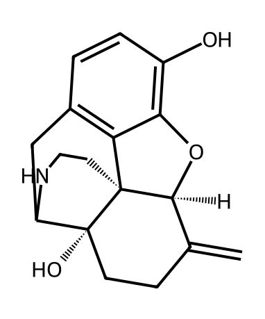 C=C1CC[C@@]2(O)C3Cc4ccc(O)c5c4[C@@]2(CCN3)[C@H]1O5